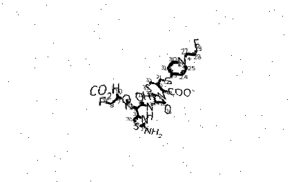 Nc1nc(/C(=N/OC(CF)C(=O)O)C(=O)N[C@@H]2C(=O)N3C(C(=O)[O-])=C(CSc4cc[n+](CCF)cc4)CS[C@H]23)cs1